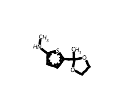 CNc1ccc(C2(C)OCCO2)s1